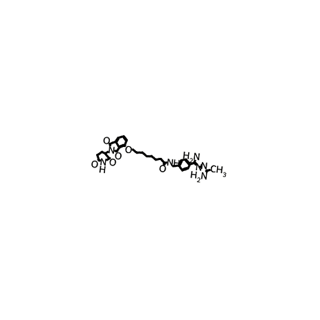 C/C(N)=N/N=C(\N)c1ccc(CNC(=O)CCCCCCCOc2cccc3c2C(=O)N(C2CCC(=O)NC2=O)C3=O)cc1